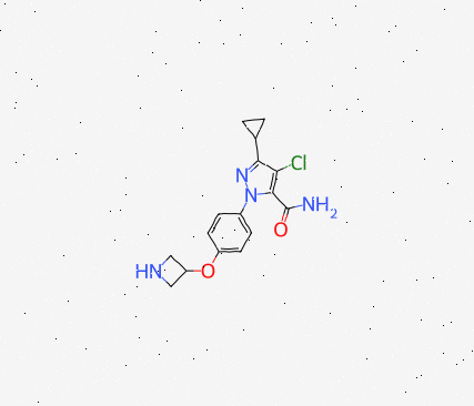 NC(=O)c1c(Cl)c(C2CC2)nn1-c1ccc(OC2CNC2)cc1